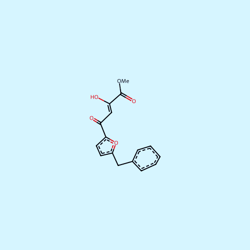 COC(=O)C(O)=CC(=O)c1ccc(Cc2ccccc2)o1